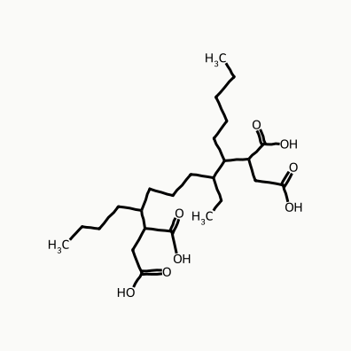 CCCCCC(C(CC)CCCC(CCCC)C(CC(=O)O)C(=O)O)C(CC(=O)O)C(=O)O